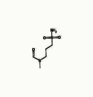 CN(C=O)CCCS(N)(=O)=O